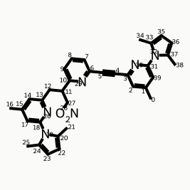 Cc1cc(C#Cc2cccc(C(Cc3cc(C)cc(-n4c(C)ccc4C)n3)C[N+](=O)[O-])n2)nc(-n2c(C)ccc2C)c1